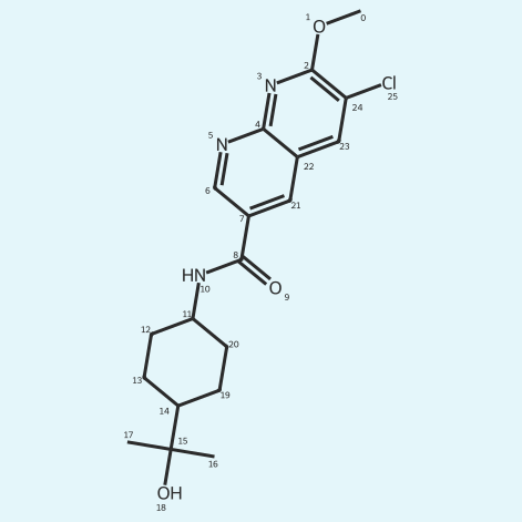 COc1nc2ncc(C(=O)NC3CCC(C(C)(C)O)CC3)cc2cc1Cl